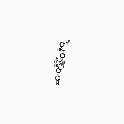 CC(Nc1cc(C(F)(F)F)ccn1)c1ccc(-c2nn3c(c2C(N)=O)Nc2ccc(N4CCNCC4)cc2CC3)cc1